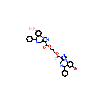 Bc1ccc2c(c1)C(c1ccccc1)=NCc1c(C(=O)OCCCOC(=O)c3ncn4c3CN=C(c3ccccc3)c3cc(Br)ccc3-4)ncn1-2